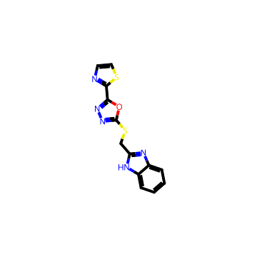 c1ccc2[nH]c(CSc3nnc(-c4nccs4)o3)nc2c1